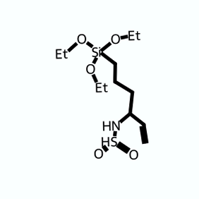 C=CC(CCC[Si](OCC)(OCC)OCC)N[SH](=O)=O